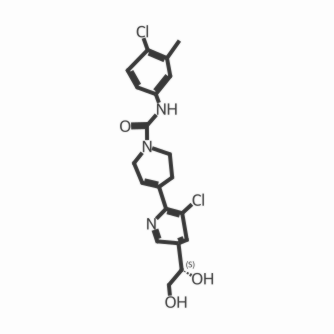 Cc1cc(NC(=O)N2CC=C(c3ncc([C@H](O)CO)cc3Cl)CC2)ccc1Cl